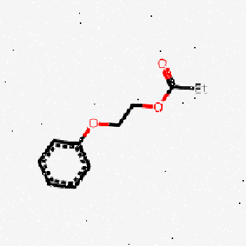 CCC(=O)OCCOc1ccccc1